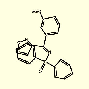 COc1cccc(/C(=N/P(=O)(c2ccccc2)c2ccccc2)c2ccon2)c1